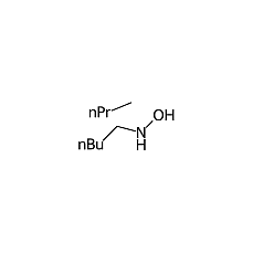 CCCC.CCCCCNO